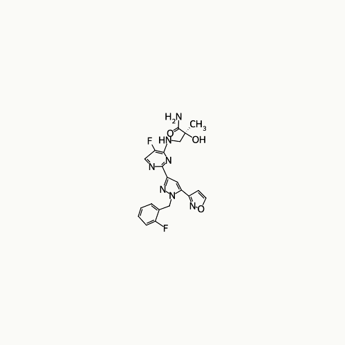 C[C@](O)(CNc1nc(-c2cc(-c3ccon3)n(Cc3ccccc3F)n2)ncc1F)C(N)=O